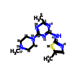 Cc1nc(Nc2ncc(C)s2)nc(N2CCN(C)CC2)n1